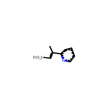 CCOC(=O)C=C(C)c1ccccn1